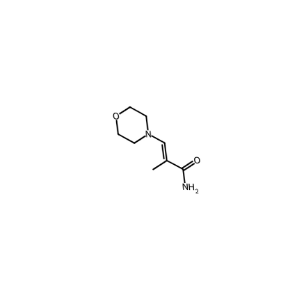 C/C(=C\N1CCOCC1)C(N)=O